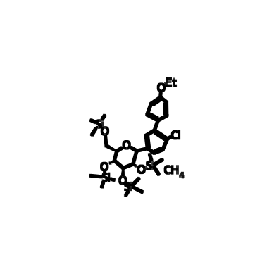 C.CCOc1ccc(-c2cc(C3O[C@H](CO[Si](C)(C)C)[C@@H](O[Si](C)(C)C)[C@H](O[Si](C)(C)C)[C@H]3O[Si](C)(C)C)ccc2Cl)cc1